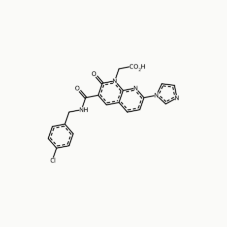 O=C(O)Cn1c(=O)c(C(=O)NCc2ccc(Cl)cc2)cc2ccc(-n3ccnc3)nc21